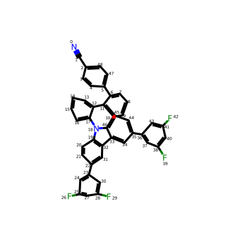 N#Cc1ccc(-c2ccccc2-c2ccccc2-n2c3ccc(-c4cc(F)cc(F)c4)cc3c3cc(-c4cc(F)cc(F)c4)ccc32)cc1